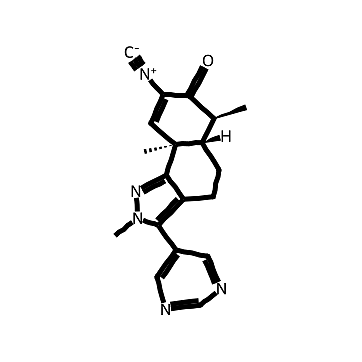 [C-]#[N+]C1=C[C@]2(C)c3nn(C)c(-c4cncnc4)c3CC[C@H]2[C@H](C)C1=O